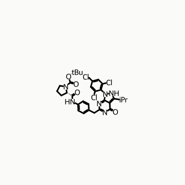 CC(C)c1[nH]n(-c2c(Cl)cc(Cl)cc2Cl)c2nc(Cc3ccc(NC(=O)[C@@H]4CCCN4C(=O)OC(C)(C)C)cc3)nc(=O)c1-2